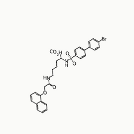 O=C(COc1cccc2ccccc12)NCCCCC(NS(=O)(=O)c1ccc(-c2ccc(Br)cc2)cc1)C(=O)O